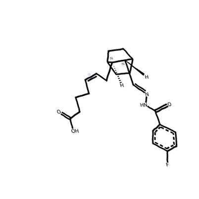 O=C(O)CCC/C=C\C[C@H]1C2CCC(CC2)[C@@H]1C=NNC(=O)c1ccc(F)cc1